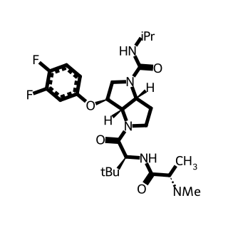 CN[C@@H](C)C(=O)N[C@H](C(=O)N1CC[C@@H]2[C@H]1[C@@H](Oc1ccc(F)c(F)c1)CN2C(=O)NC(C)C)C(C)(C)C